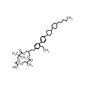 C=C(COC)C(=O)OCC(CCc1ccc(-c2ccc(C3CCC(C4CCC(CCCCC)CC4)CC3)cc2)c(CC)c1)COC(=O)C(C)(C)COCCO